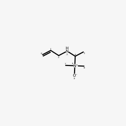 C=CCNC(C)[N+](C)(C)[O-]